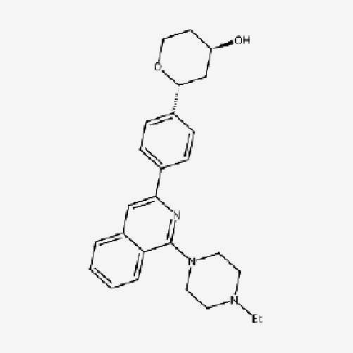 CCN1CCN(c2nc(-c3ccc([C@H]4C[C@H](O)CCO4)cc3)cc3ccccc23)CC1